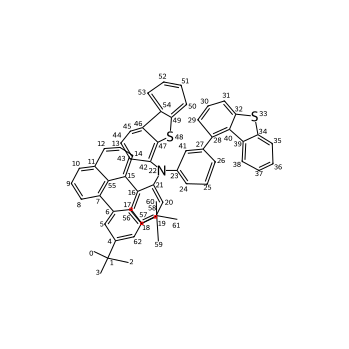 CC(C)(C)c1cc(-c2cccc3cccc(-c4ccccc4N(c4cccc(-c5cccc6sc7ccccc7c56)c4)c4cccc5c4sc4ccccc45)c23)cc(C(C)(C)C)c1